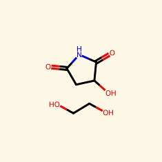 O=C1CC(O)C(=O)N1.OCCO